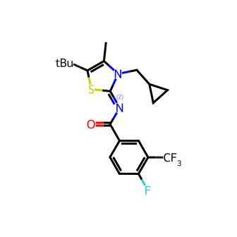 Cc1c(C(C)(C)C)s/c(=N\C(=O)c2ccc(F)c(C(F)(F)F)c2)n1CC1CC1